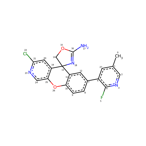 Cc1cnc(F)c(-c2ccc3c(c2)C2(COC(N)=N2)c2cc(Cl)ncc2O3)c1